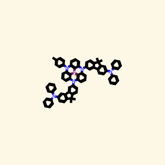 Cc1ccc(N2c3cccc4c3P3(=S)c5c2cccc5N(c2ccc5c(c2)-c2ccc(N(c6ccccc6)c6ccccc6)cc2C5(C)C)c2cccc(c23)N4c2ccc3c(c2)-c2cc(N(c4ccccc4)c4ccccc4)ccc2C3(C)C)cc1